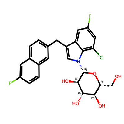 OC[C@H]1O[C@@H](n2cc(Cc3ccc4cc(F)ccc4c3)c3cc(F)cc(Cl)c32)[C@H](O)[C@@H](O)[C@@H]1O